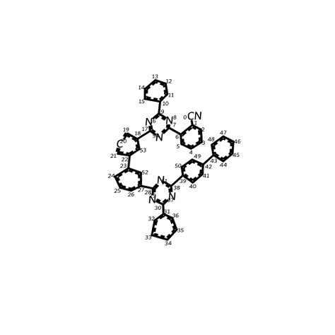 N#Cc1ccccc1-c1nc(-c2ccccc2)nc(-c2cccc(-c3cccc(-c4nc(-c5ccccc5)nc(-c5ccc(-c6ccccc6)cc5)n4)c3)c2)n1